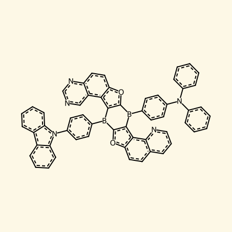 c1ccc(N(c2ccccc2)c2ccc(B3c4oc5ccc6ncncc6c5c4B(c4ccc(-n5c6ccccc6c6ccccc65)cc4)c4oc5ccc6cccnc6c5c43)cc2)cc1